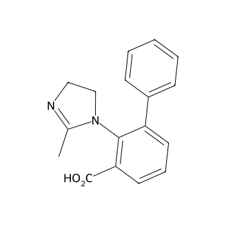 CC1=NCCN1c1c(C(=O)O)cccc1-c1ccccc1